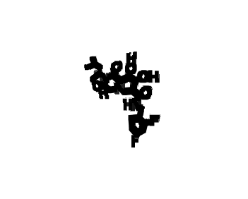 CC(C)C[C@@H]1CO[C@H]2CN3C=C(C(=O)NCc4ccc(F)cc4F)C(O)C(O)=C3C(=O)N12